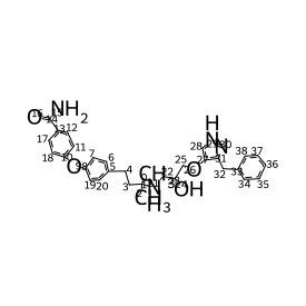 CC(C)(CCc1ccc(Oc2ccc(C(N)=O)cc2)cc1)NC[C@H](O)COc1c[nH]nc1Cc1ccccc1